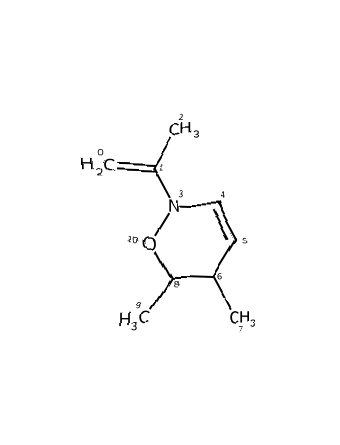 C=C(C)N1C=CC(C)C(C)O1